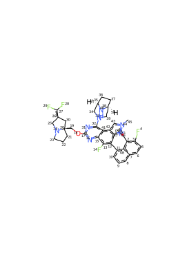 C#Cc1c(F)ccc2cccc(-c3c(F)c4nc(OC[C@@]56CCCN5CC(=C(F)F)C6)nc(N5C[C@H]6CC[C@@H](C5)N6)c4c4cn(C)nc34)c12